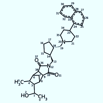 CC(O)C1C(C)C2CC1C1C(=O)N(C[C@H]3CCC[C@@H]3CN3CCC(c4cccc5ccccc45)CC3)C(=O)C21